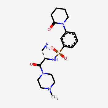 CN1CCN(C(=O)[C@H](CN)NS(=O)(=O)c2cccc(N3CCCCC3=O)c2)CC1